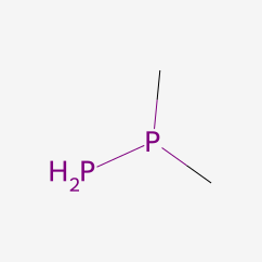 CP(C)P